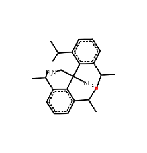 CC(C)c1cccc(C(C)C)c1C(N)(CN)c1c(C(C)C)cccc1C(C)C